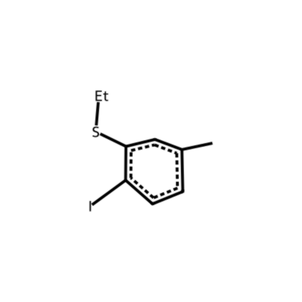 CCSc1cc(C)ccc1I